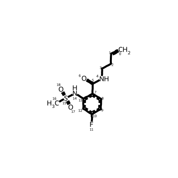 C=CCCNC(=O)c1ccc(F)cc1NS(C)(=O)=O